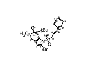 CN(Cc1cc(Br)n(S(=O)(=O)CC=Cc2cccnc2)c1)C(=O)OC(C)(C)C